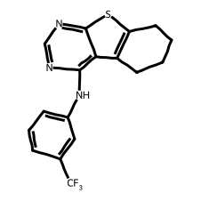 FC(F)(F)c1cccc(Nc2ncnc3sc4c(c23)CCCC4)c1